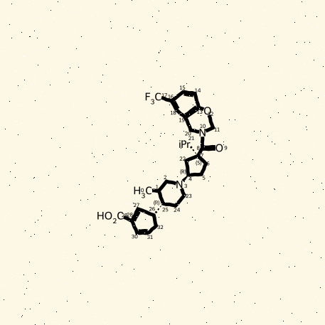 CC1CN([C@@H]2CC[C@@](C(=O)N3COc4ccc(C(F)(F)F)cc4C3)(C(C)C)C2)CC[C@@H]1C1C=C(C(=O)O)C=CC1